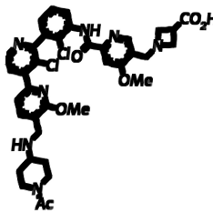 COc1cc(C(=O)Nc2cccc(-c3nccc(-c4ccc(CNC5CCN(C(C)=O)CC5)c(OC)n4)c3Cl)c2Cl)ncc1CN1CC(C(=O)O)C1